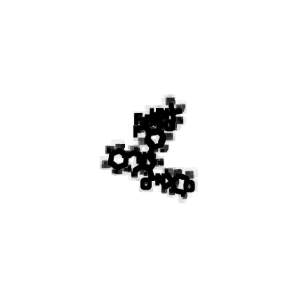 Cc1c(C(=O)N2CC3(CCOCC3)C2)cc(-c2ccc(S(=O)(=O)NC(C)(C)C)c(C(F)(F)F)c2)n1CC1CCCCC1